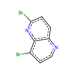 Brc1ccc2nccc(Br)c2n1